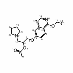 CC(=O)OC(COc1ccc2c(OCCl)ncnc2c1)CN1CCCC1